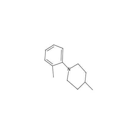 Cc1ccccc1N1CCC(C)CC1